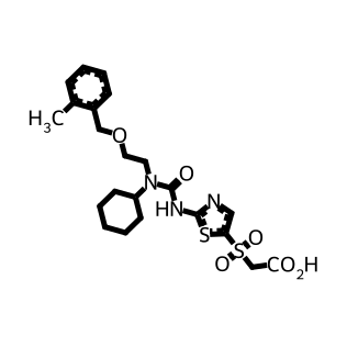 Cc1ccccc1COCCN(C(=O)Nc1ncc(S(=O)(=O)CC(=O)O)s1)C1CCCCC1